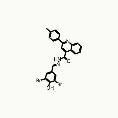 Cc1ccc(-c2cc(C(=O)NN=Cc3cc(Br)c(O)c(Br)c3)c3ccccc3n2)cc1